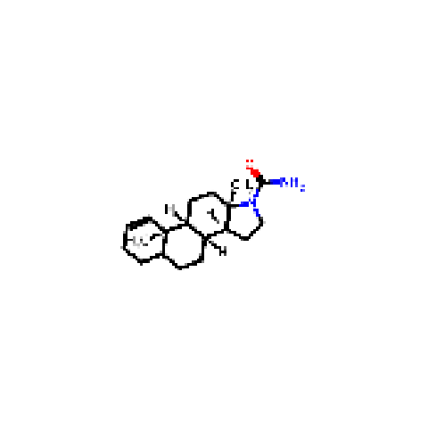 C[C@]12C=CCCC1CC[C@@H]1[C@H]2CC[C@@]2(C)[C@H]1CCN2C(N)=O